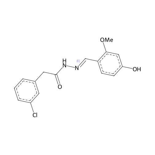 COc1cc(O)ccc1/C=N/NC(=O)Cc1cccc(Cl)c1